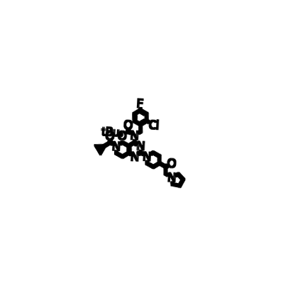 CC(C)(C)OC(=O)N(Cc1ccc(F)cc1Cl)c1nc(N2CCC(C(=O)CN3CCCC3)CC2)nc2c1CN(C(=O)C1CC1)CC2